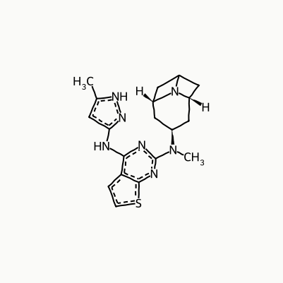 Cc1cc(Nc2nc(N(C)[C@@H]3C[C@H]4CC5C[C@@H](C3)N54)nc3sccc23)n[nH]1